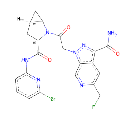 NC(=O)c1nn(CC(=O)N2C3C[C@@H]3C[C@H]2C(=O)Nc2cccc(Br)n2)c2cnc(CF)cc12